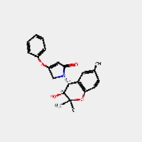 CC1(C)Oc2ccc(C#N)cc2[C@@H](N2CC(Oc3ccccc3)=CC2=O)[C@@H]1O